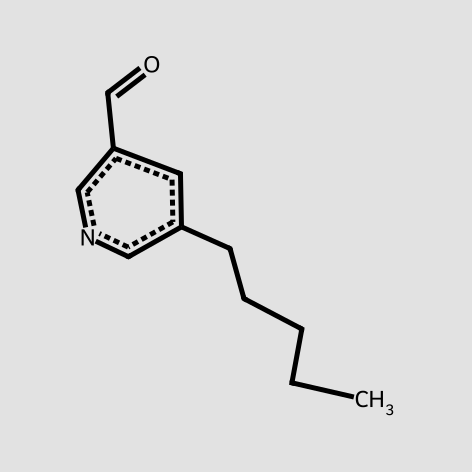 CCCCCc1cncc(C=O)c1